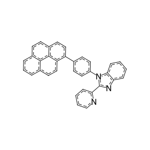 c1ccc(-c2nc3ccccc3n2-c2ccc(-c3ccc4ccc5cccc6ccc3c4c56)cc2)nc1